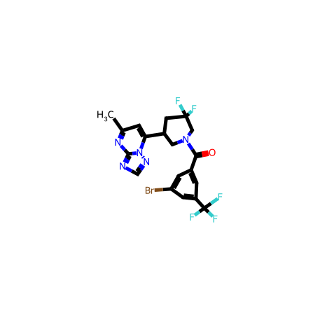 Cc1cc(C2CN(C(=O)c3cc(Br)cc(C(F)(F)F)c3)CC(F)(F)C2)n2ncnc2n1